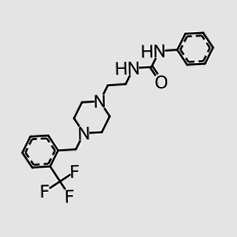 O=C(NCCN1CCN(Cc2ccccc2C(F)(F)F)CC1)Nc1ccccc1